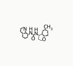 Cc1ccc2c(c1)C(NC(=O)Nc1cccc3cccnc13)CCO2